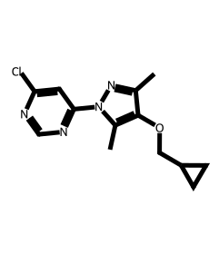 Cc1nn(-c2cc(Cl)ncn2)c(C)c1OCC1CC1